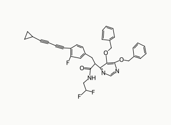 O=C(NCC(F)F)C(Cc1ccc(C#CC#CC2CC2)c(F)c1)c1ncnc(OCc2ccccc2)c1OCc1ccccc1